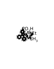 CCN(CCC(C)CN1CCn2c(c(C3CCCCC3)c3ccc(C(=O)O)cc32)-c2ccccc21)C(C)=O